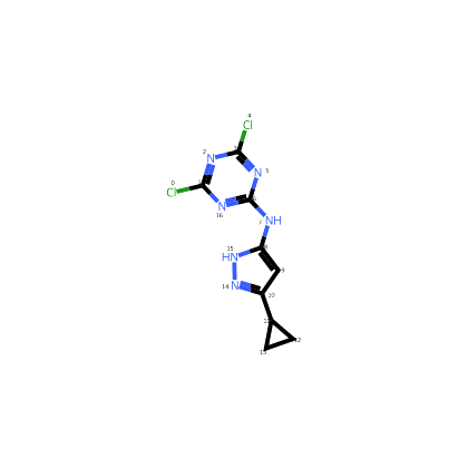 Clc1nc(Cl)nc(Nc2cc(C3CC3)n[nH]2)n1